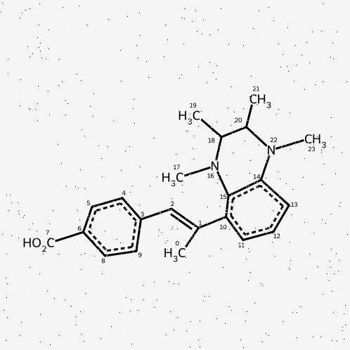 CC(=Cc1ccc(C(=O)O)cc1)c1cccc2c1N(C)C(C)C(C)N2C